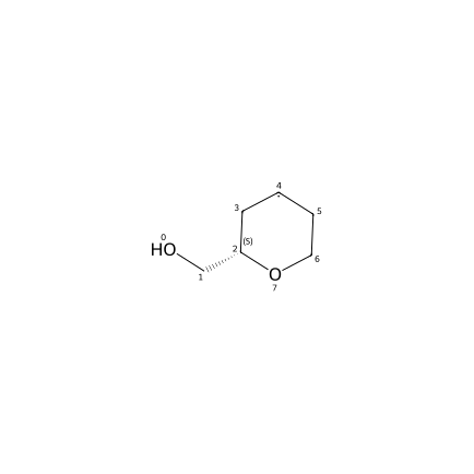 OC[C@@H]1C[CH]CCO1